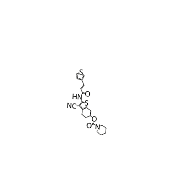 N#Cc1c(NC(=O)C=Cc2ccsc2)sc2c1CCC(OC(=O)N1CCCCC1)C2